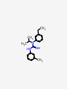 CCc1cccc(N(C(=N)Nc2cccc(C)c2)C(C)C)c1